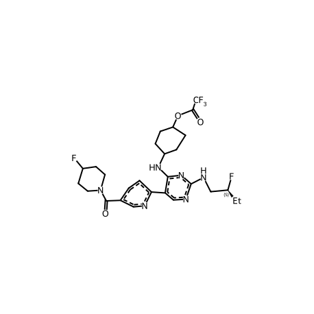 CC[C@H](F)CNc1ncc(-c2ccc(C(=O)N3CCC(F)CC3)cn2)c(NC2CCC(OC(=O)C(F)(F)F)CC2)n1